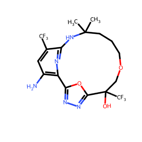 CC1(C)CCCOCC(O)(C(F)(F)F)c2nnc(o2)-c2nc(c(C(F)(F)F)cc2N)N1